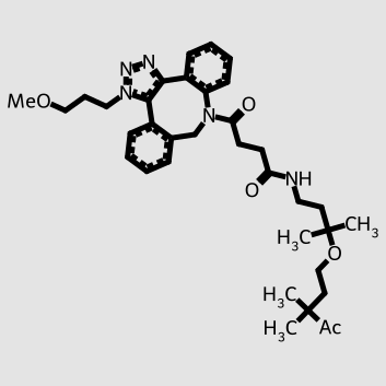 COCCCn1nnc2c1-c1ccccc1CN(C(=O)CCC(=O)NCCC(C)(C)OCCC(C)(C)C(C)=O)c1ccccc1-2